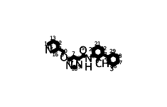 Cc1c(NC(=O)c2cc(OCc3cccnc3)ncn2)cccc1-c1ccccc1